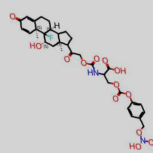 C[C@]12C[C@H](O)C3(F)[C@@H](CCC4=CC(=O)C=C[C@@]43C)C1CCC2C(=O)COC(=O)NC(COC(=O)Oc1ccc(CON(O)O)cc1)C(=O)O